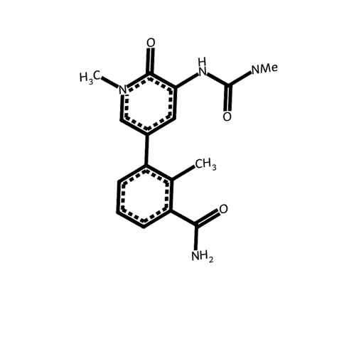 CNC(=O)Nc1cc(-c2cccc(C(N)=O)c2C)cn(C)c1=O